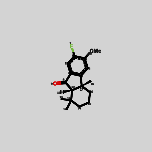 COc1cc2c(cc1F)C(=O)[C@H]1C(C)(C)CCC[C@@]21C